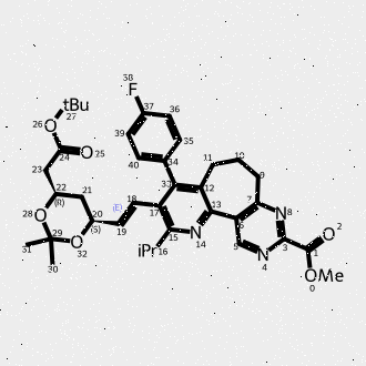 COC(=O)c1ncc2c(n1)CCCc1c-2nc(C(C)C)c(/C=C/[C@@H]2C[C@H](CC(=O)OC(C)(C)C)OC(C)(C)O2)c1-c1ccc(F)cc1